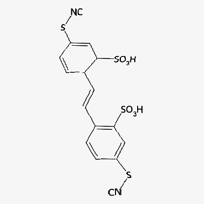 [C-]#[N+]SC1=CC(S(=O)(=O)O)C(C=Cc2ccc(S[N+]#[C-])cc2S(=O)(=O)O)C=C1